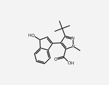 Cn1nc(C(C)(C)C)c(C2=CC(O)c3ccccc32)c1C(=O)O